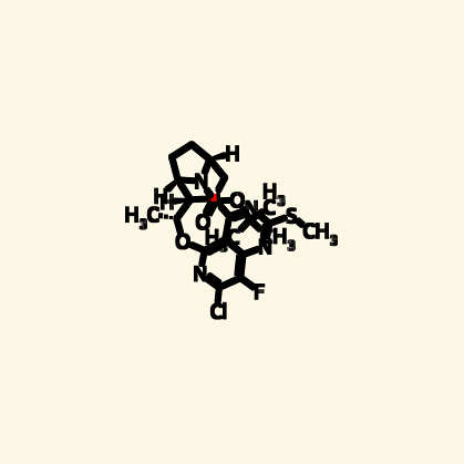 CSc1nc2c3c(nc(Cl)c(F)c3n1)O[C@H](C)[C@@H]1[C@@H]3CC[C@H](CN21)N3C(=O)OC(C)(C)C